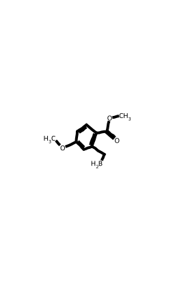 BCc1cc(OC)ccc1C(=O)OC